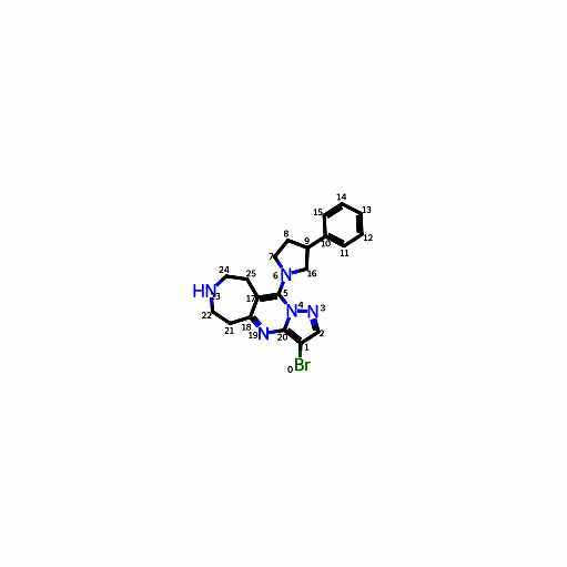 Brc1cnn2c(N3CCC(c4ccccc4)C3)c3c(nc12)CCNCC3